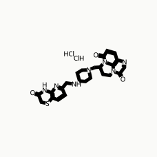 Cl.Cl.O=C1CSc2ccc(CNC3CCN(CC4CCn5c(=O)cnc6ccc(=O)n4c65)CC3)nc2N1